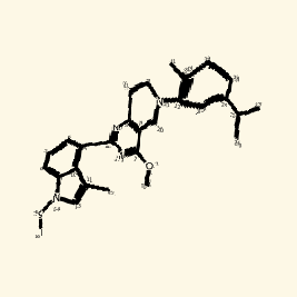 COc1nc(-c2cccc3c2c(C)cn3SI)nc2c1CN(c1cc(C(C)C)ccc1C)CC2